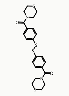 O=C(c1ccc(SSc2ccc(C(=O)N3CCSCC3)cc2)cc1)N1CCSCC1